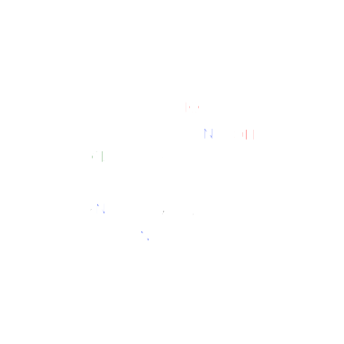 ON(O)c1ccc2ncnc(Cl)c2c1